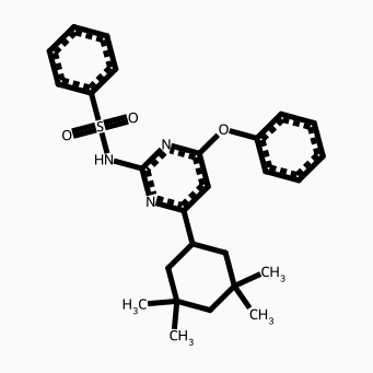 CC1(C)CC(c2cc(Oc3ccccc3)nc(NS(=O)(=O)c3ccccc3)n2)CC(C)(C)C1